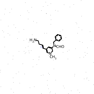 CN1C=C(/C=C/CCN)C=C(N(C=O)Cc2ccccc2)C1